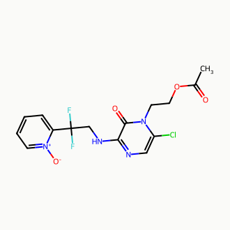 CC(=O)OCCn1c(Cl)cnc(NCC(F)(F)c2cccc[n+]2[O-])c1=O